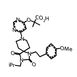 COc1ccc(CCN2C(=O)N(CC(C)C)C(=O)C23CCN(c2cc(OC(C)(C)C(=O)O)ncn2)CC3)cc1